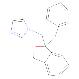 c1ccc(CC2(Cn3ccnc3)OCc3ccccc32)cc1